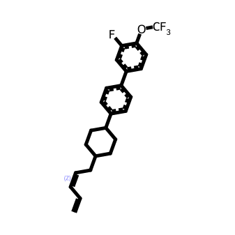 C=C/C=C\CC1CCC(c2ccc(-c3ccc(OC(F)(F)F)c(F)c3)cc2)CC1